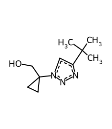 CC(C)(C)c1cn(C2(CO)CC2)nn1